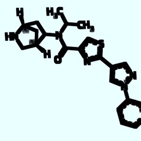 CC(C)N(C(=O)c1csc(-c2cnn(-c3ccccc3)c2)n1)C1C[C@@H]2C[C@H]1CN2